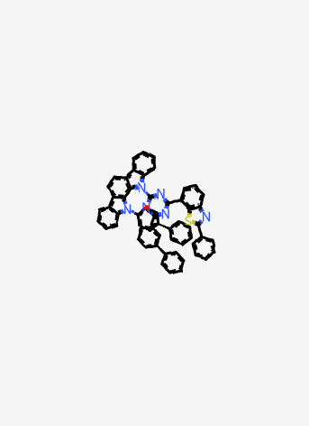 c1ccc(-c2ccc(-n3c4ccccc4c4ccc5c6ccccc6n(-c6nc(-c7cccc(-c8ccccc8)c7)nc(-c7cccc8nc(-c9ccccc9)sc78)n6)c5c43)cc2)cc1